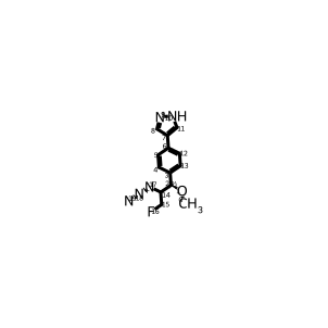 CO[C@H](c1ccc(-c2cn[nH]c2)cc1)C(CF)N=[N+]=[N-]